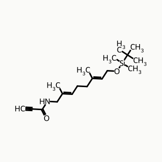 C#CC(=O)NC/C(C)=C/CC/C(C)=C/CO[Si](C)(C)C(C)(C)C